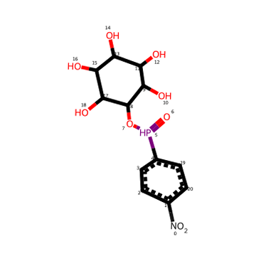 O=[N+]([O-])c1ccc([PH](=O)OC2C(O)C(O)C(O)C(O)C2O)cc1